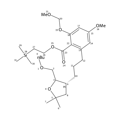 CCCCOCC1OC(C)(C)C[C@H]1CCCc1cc(OC)cc(OCOC)c1C(=O)OCC[Si](C)(C)C